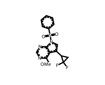 COc1ncnc2c1c(C1CC1(F)F)cn2S(=O)(=O)c1ccccc1